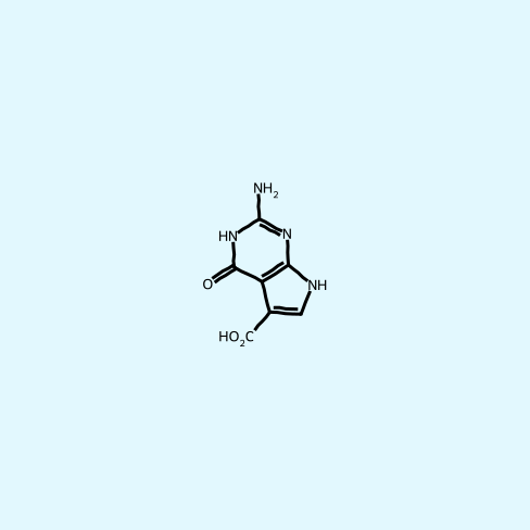 Nc1nc2[nH]cc(C(=O)O)c2c(=O)[nH]1